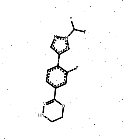 Fc1cc(C2=NNCCO2)ccc1-c1cnn(C(F)F)c1